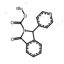 CC(C)(C)OC(=O)N1C(=O)c2ccccc2C1c1ccncc1